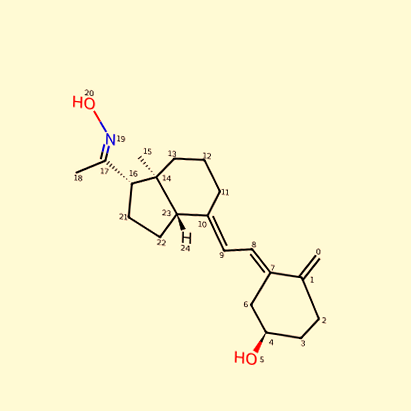 C=C1CC[C@@H](O)CC1=CC=C1CCC[C@]2(C)[C@@H](C(C)=NO)CC[C@@H]12